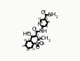 CN1C(C(=O)Nc2ccc(C(N)=O)cn2)=C(O)c2ccccc2S1(=O)=O